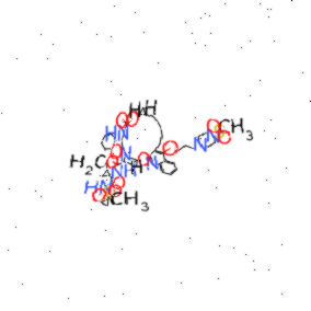 C=C[C@@H]1C[C@]1(NC(=O)[C@@H]1C[C@@H]2CN1C(=O)[C@H](C1CCCCC1)NC(=O)O[C@@H]1C[C@H]1CCCCCc1c(nc3ccccc3c1OCCCN1CCN(S(C)(=O)=O)CC1)O2)C(=O)NS(=O)(=O)C1(C)CC1